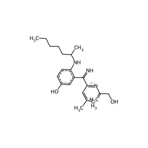 C=C(CO)/N=C(\C=C(C)C)C(=N)c1cc(O)ccc1NC(C)CCCCC